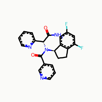 NC(=O)[C@@H](c1ccccn1)N(C(=O)c1cccnc1)[C@@H]1CCc2c(F)cc(F)cc21